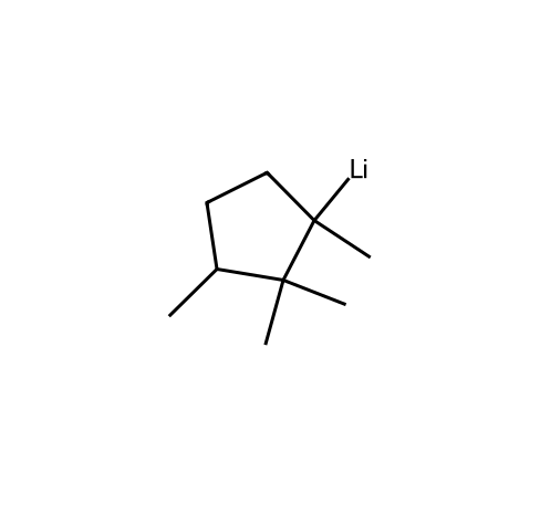 [Li][C]1(C)CCC(C)C1(C)C